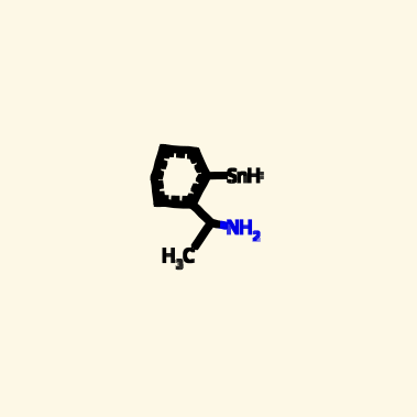 CC(N)c1cccc[c]1[SnH]